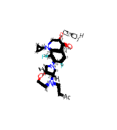 CC(=O)CCN1CCO[C@@H]2CN(c3c(F)cc4c(=O)c(OC(=O)O)cn(C5CC5)c4c3F)C[C@@H]21